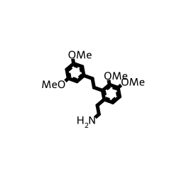 COc1cc(CCc2c(CCN)ccc(OC)c2OC)cc(OC)c1